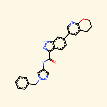 O=C(Nc1cnn(Cc2ccccc2)c1)c1n[nH]c2cc(-c3cnc4c(c3)CCCO4)ccc12